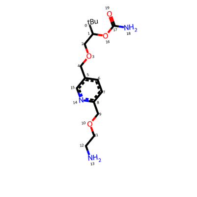 CC(C)(C)C(COCc1ccc(COCCN)nc1)OC(N)=O